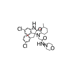 CC1CCCC(N(CC(=O)NN2CCOCC2)C2(Cc3cccc(Cl)c3)C(=O)Nc3cc(Cl)ccc32)C1